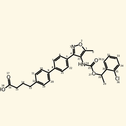 Cc1onc(-c2ccc(-c3ccc(CCCC(=O)O)cc3)cc2)c1NC(=O)OC(C)c1ccccc1Cl